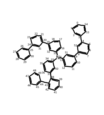 c1ccc(-c2cccc(-c3cccc(N(c4cccc(-c5cccc(-c6ccccc6)c5)c4)c4cccc(-c5ccccc5-c5ccccc5)c4)c3)c2)cc1